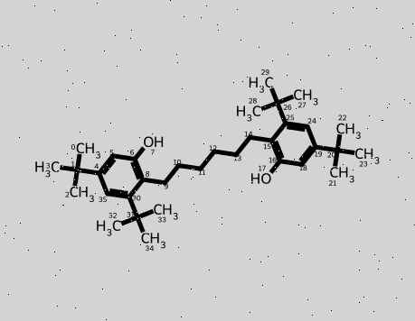 CC(C)(C)c1cc(O)c(CCCCCCc2c(O)cc(C(C)(C)C)cc2C(C)(C)C)c(C(C)(C)C)c1